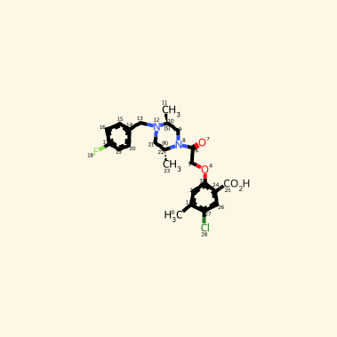 Cc1cc(OCC(=O)N2C[C@H](C)N(Cc3ccc(F)cc3)C[C@H]2C)c(C(=O)O)cc1Cl